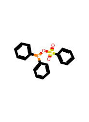 O=S(=O)(OP(c1ccccc1)c1ccccc1)c1ccccc1